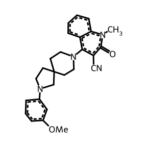 COc1cccc(N2CCC3(CCN(c4c(C#N)c(=O)n(C)c5ccccc45)CC3)C2)c1